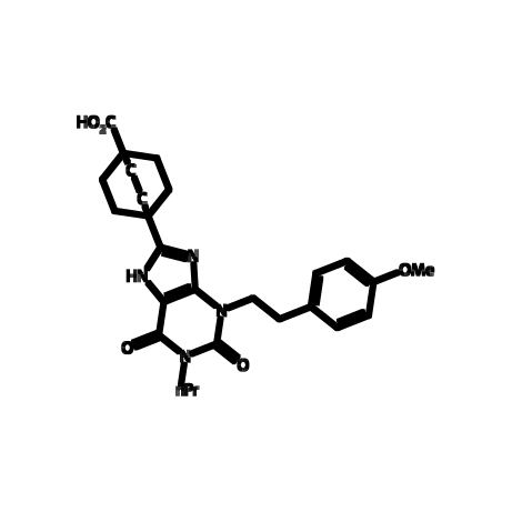 CCCn1c(=O)c2[nH]c(C34CCC(C(=O)O)(CC3)CC4)nc2n(CCc2ccc(OC)cc2)c1=O